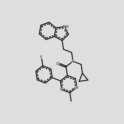 Cc1ncc(C(=O)N(CCc2c[nH]c3ccccc23)CC2CC2)c(-c2cccc(F)c2)n1